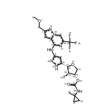 COCc1cc2c(Nc3cc([C@@H]4OC[C@H](OC(=O)NC5(C)CC5)[C@H]4F)[nH]n3)nc(C(F)(F)F)cn2n1